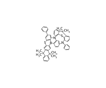 CC1(C)c2ccccc2C(C)(C)c2cc3c(cc21)Sc1cc(-c2ccccc2)cc2c1B3c1ccc3cc1N2c1cccc2c1Sc1c(cccc1C2(C)C)N3c1ccccc1